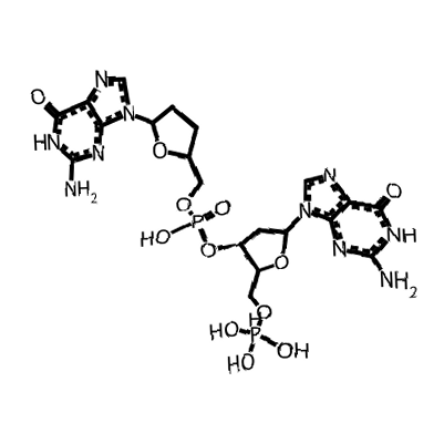 Nc1nc2c(ncn2C2CCC(COP(=O)(O)O[C@H]3CC(n4cnc5c(=O)[nH]c(N)nc54)OC3CO[PH](O)(O)O)O2)c(=O)[nH]1